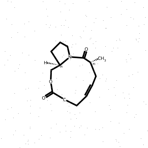 C[C@@H]1CC=CCCC(=O)OC[C@H]2CCCN2C1=O